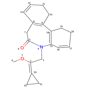 COC(CN1C(=O)CC2=C(CCC=C2)C2=C1C=CCC2)=C1CC1